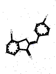 O=C1/C(=C/c2ccc(F)cc2)Cc2c(Cl)cccc21